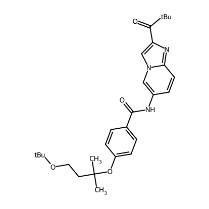 CC(C)(C)OCCC(C)(C)Oc1ccc(C(=O)Nc2ccc3nc(C(=O)C(C)(C)C)cn3c2)cc1